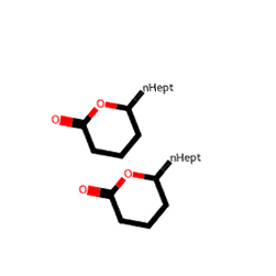 CCCCCCCC1CCCC(=O)O1.CCCCCCCC1CCCC(=O)O1